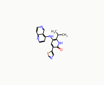 CC(C)c1[nH]c(=O)c(-c2cncs2)cc1Nc1ccnc2ccncc12